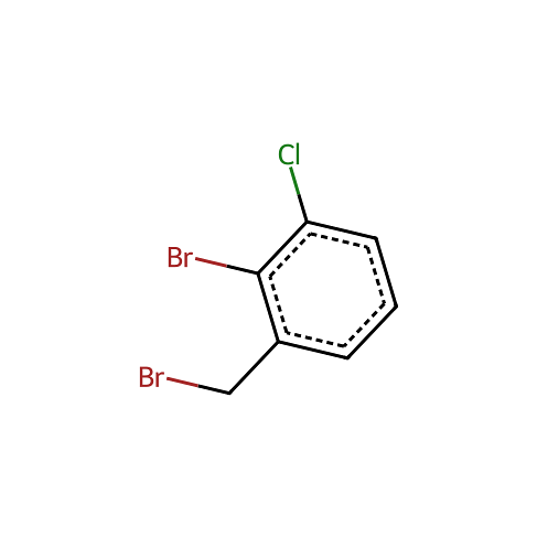 Clc1cccc(CBr)c1Br